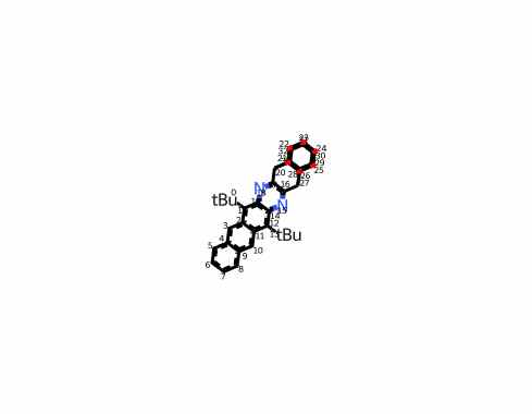 CC(C)(C)c1c2cc3ccccc3cc2c(C(C)(C)C)c2nc3c(nc12)C1c2ccccc2C3c2ccccc21